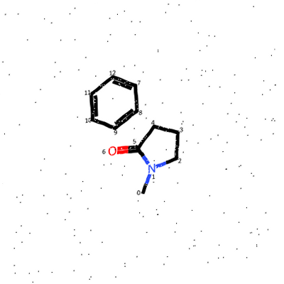 CN1CCCC1=O.c1ccccc1